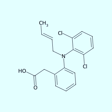 C/C=C/CN(c1ccccc1CC(=O)O)c1c(Cl)cccc1Cl